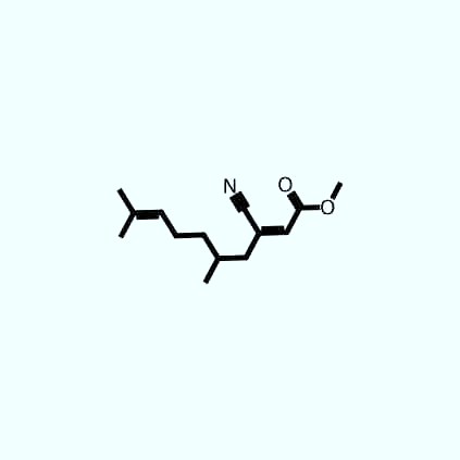 COC(=O)C=C(C#N)CC(C)CCC=C(C)C